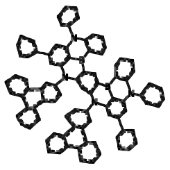 c1ccc(-c2cc3c4c(c2)N(c2ccc5c6ccccc6c6ccccc6c5c2)c2cc5c(cc2B4c2ccccc2N3c2ccccc2)B2c3ccccc3N(c3ccccc3)c3cc(-c4ccccc4)cc(c32)N5c2ccc3c4ccccc4c4ccccc4c3c2)cc1